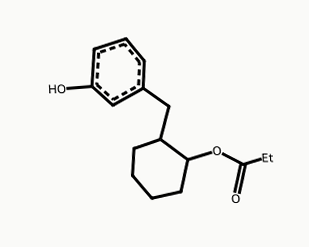 CCC(=O)OC1CCCCC1Cc1cccc(O)c1